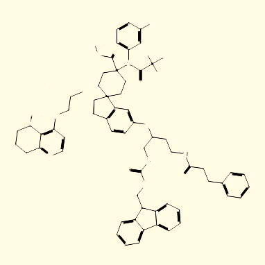 COC(=O)C1(N(C(=O)C(F)(F)F)c2cccc(Cl)c2)CCC2(CC1)c1cc(OC(CCNC(=O)CCc3ccccc3)CNC(=O)OCC3c4ccccc4-c4ccccc43)ccc1C[C@@H]2C[C@@H](C)COc1ccnc2c1[C@H](C)CCC2